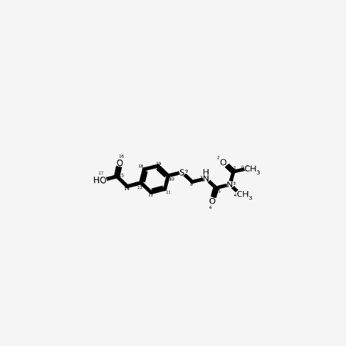 CC(=O)N(C)C(=O)NCSc1ccc(CC(=O)O)cc1